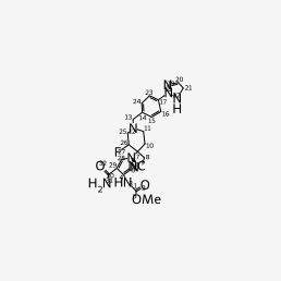 COC(=O)Nc1nn(C2(CC#N)CCN(Cc3ccc(N4N=CCN4)cc3)CC2F)cc1C(N)=O